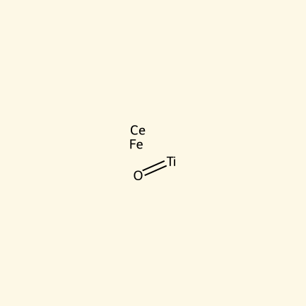 [Ce].[Fe].[O]=[Ti]